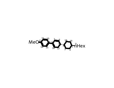 CCCCCC[C@H]1CC[C@H](C2C=CC(c3ccc(OC)cc3)=CC2)CC1